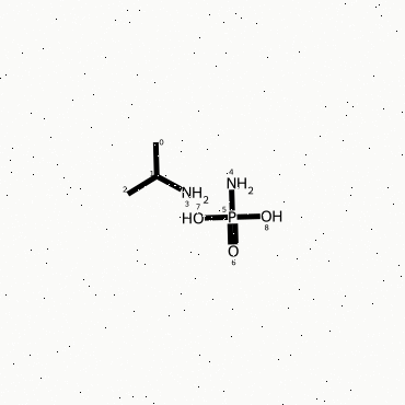 CC(C)N.NP(=O)(O)O